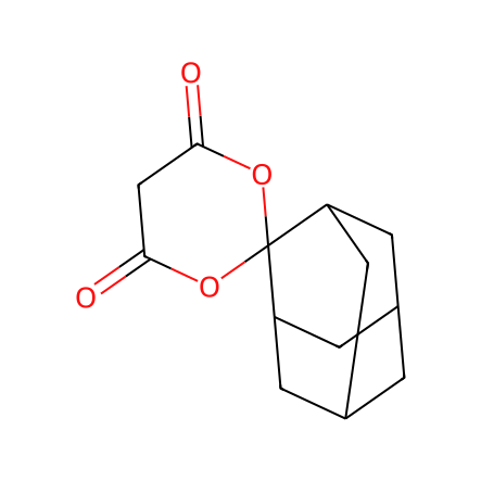 O=C1CC(=O)OC2(O1)C1CC3CC(C1)CC2C3